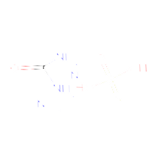 N.N.NC(N)=O.O=S(O)(O)=S